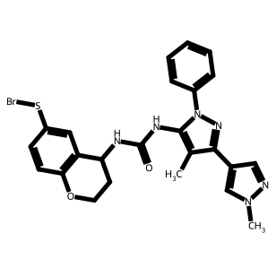 Cc1c(-c2cnn(C)c2)nn(-c2ccccc2)c1NC(=O)NC1CCOc2ccc(SBr)cc21